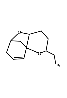 CC(C)CC1CCC2OC3CC=CC2(C3)O1